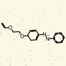 C=COCCOC1C=CC(/N=N/c2ccccc2)=CC1